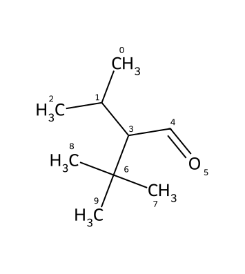 CC(C)C(C=O)C(C)(C)C